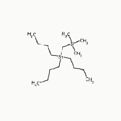 CCC[CH2][Sn]([CH2]CCC)([CH2]CCC)[CH2][Si](C)(C)C